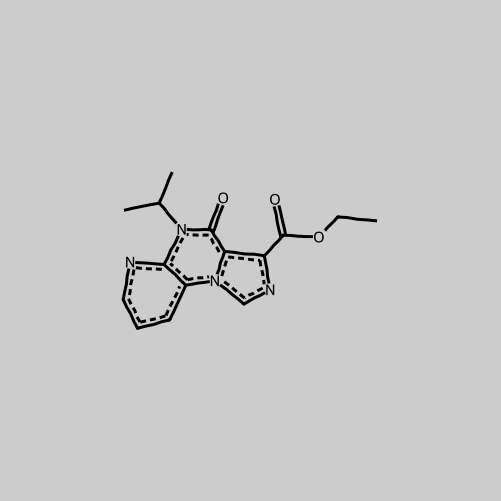 CCOC(=O)c1ncn2c1c(=O)n(C(C)C)c1ncccc12